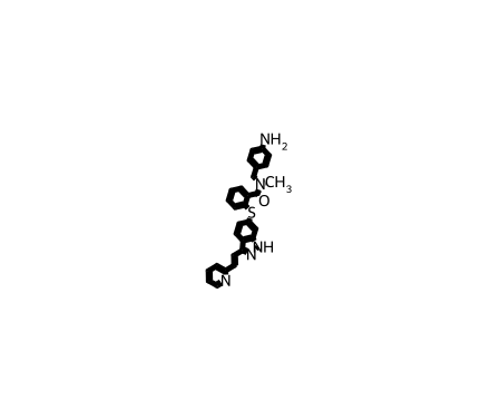 CN(Cc1ccc(N)cc1)C(=O)c1ccccc1Sc1ccc2c(/C=C/c3ccccn3)n[nH]c2c1